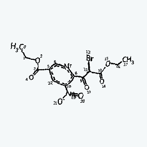 CCOC(=O)c1cnc(C(=O)C(Br)C(=O)OCC)c([N+](=O)[O-])c1